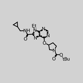 CCn1c(C(=O)NCC2CC2)nc2c(OC3CCN(C(=O)OC(C)(C)C)C3)ncnc21